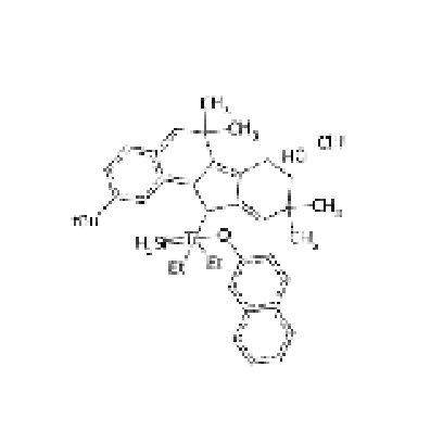 C[CH2][Ti](=[SiH2])([CH2]C)([O]c1ccc2ccccc2c1)[CH]1C2=CC(C)(C)CCC2=C2C1=c1cc(C(C)(C)C)ccc1=CC2(C)C.Cl.Cl